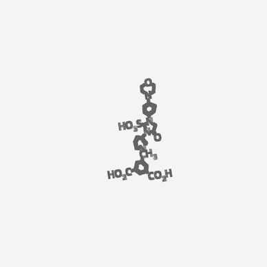 Cc1cc(C(=O)O)cc(C(=O)O)c1.O=C1CN(c2ccc(N3CCOCC3)cc2)C(S(=O)(=O)O)N1c1cccnc1